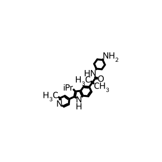 Cc1cc(-c2[nH]c3ccc(C(C)(C)C(=O)NC4CCC(N)CC4)cc3c2C(C)C)ccn1